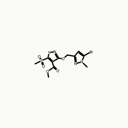 COC(=O)c1c(OCc2cc(Br)n(C)n2)nsc1S(C)(=O)=O